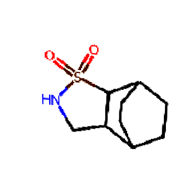 O=S1(=O)NCC2C3CCC(CC3)C21